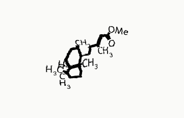 C=C1CC[C@@H]2C(C)(C)CCC[C@@]2(C)[C@@H]1CC/C(C)=C/C(=O)OC